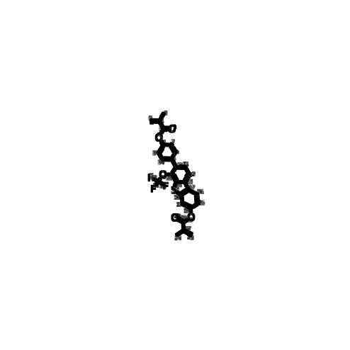 C=C(C)C(=O)Oc1ccc(-c2ccc3c(sc4cc(OC(=O)C(=C)C)ccc43)c2OC(F)(F)F)cc1